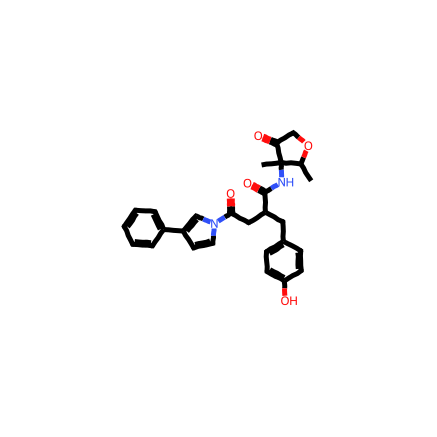 CC1OCC(=O)C1(C)NC(=O)C(CC(=O)n1ccc(-c2ccccc2)c1)Cc1ccc(O)cc1